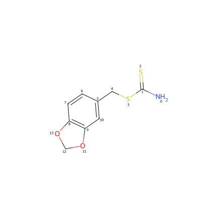 NC(=S)SCc1ccc2c(c1)OCO2